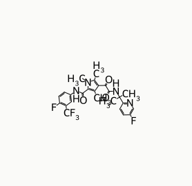 Cc1c(C(=O)C(=O)NC(C)(C)c2ccc(F)cn2)c(C)n(C)c1C(=O)Nc1ccc(F)c(C(F)(F)F)c1